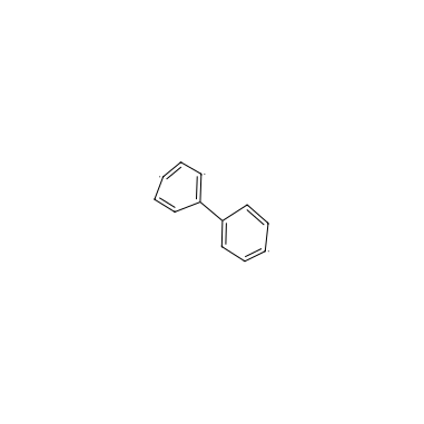 [c]1c[c]c(-c2cc[c]cc2)cc1